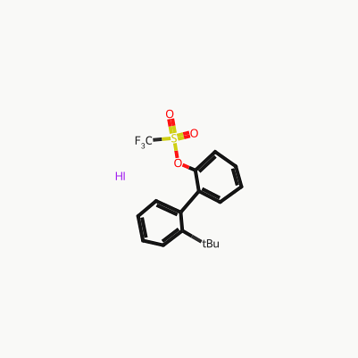 CC(C)(C)c1ccccc1-c1ccccc1OS(=O)(=O)C(F)(F)F.I